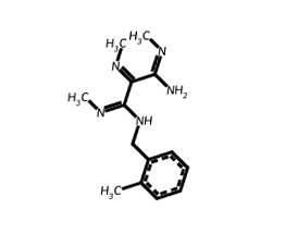 CN=C(NCc1ccccc1C)C(=N/C)/C(N)=N\C